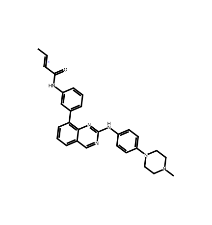 C/C=C/C(=O)Nc1cccc(-c2cccc3cnc(Nc4ccc(N5CCN(C)CC5)cc4)nc23)c1